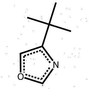 CC(C)(C)c1co[c]n1